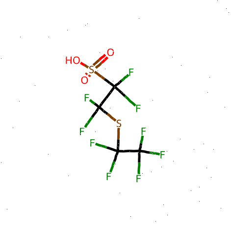 O=S(=O)(O)C(F)(F)C(F)(F)SC(F)(F)C(F)(F)F